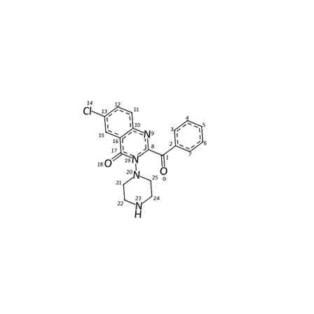 O=C(c1ccccc1)c1nc2ccc(Cl)cc2c(=O)n1N1CCNCC1